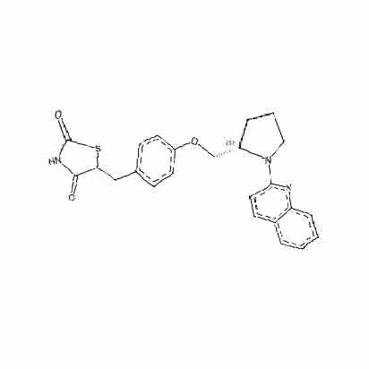 O=C1NC(=O)C(Cc2ccc(OC[C@@H]3CCCN3c3ccc4ccccc4n3)cc2)S1